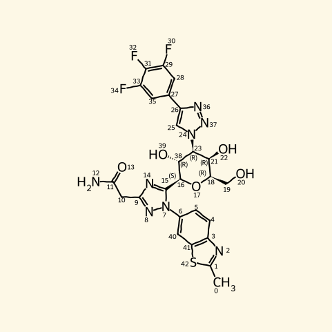 Cc1nc2ccc(-n3nc(CC(N)=O)nc3[C@@H]3O[C@H](CO)[C@H](O)[C@H](n4cc(-c5cc(F)c(F)c(F)c5)nn4)[C@H]3O)cc2s1